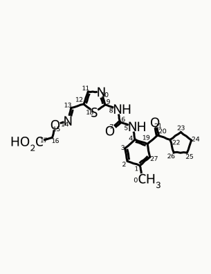 Cc1ccc(NC(=O)Nc2ncc(C=NOCC(=O)O)s2)c(C(=O)C2CCCC2)c1